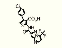 CC(F)(F)c1ccnc2cc(C(=O)Nc3scc(-c4ccc(Cl)cc4)c3C(=O)O)nn12